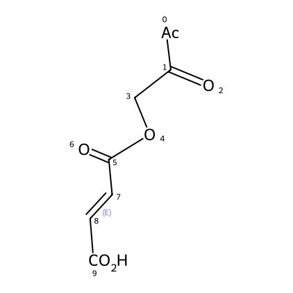 CC(=O)C(=O)COC(=O)/C=C/C(=O)O